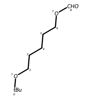 CC(C)(C)OCCCCCOC=O